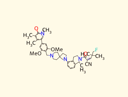 COc1cc(-c2cn(C)c(=O)c(C)c2C)cc(OC)c1CN1CCC2(CC1)CCN(c1cccc3c1CCN(C(=O)/C(C#N)=C\C(C)(C)CF)C3C)C2